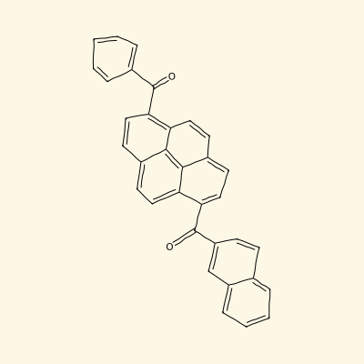 O=C(c1ccccc1)c1ccc2ccc3c(C(=O)c4ccc5ccccc5c4)ccc4ccc1c2c43